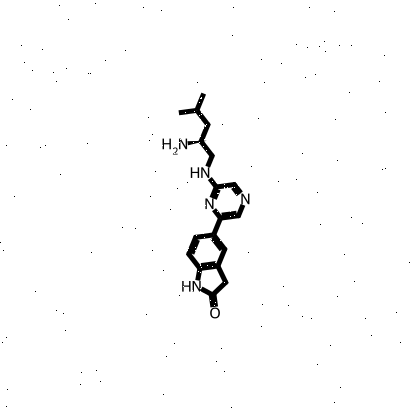 CC(C)C[C@H](N)CNc1cncc(-c2ccc3c(c2)CC(=O)N3)n1